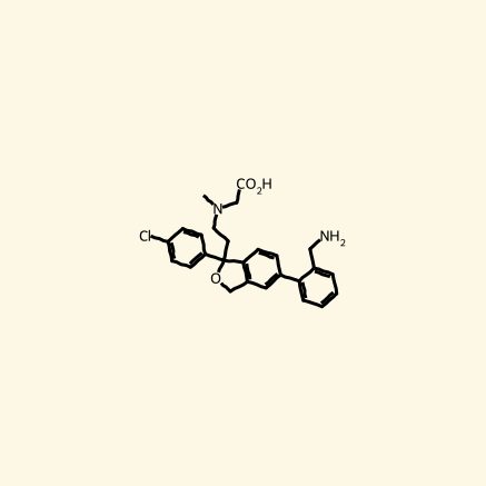 CN(CCC1(c2ccc(Cl)cc2)OCc2cc(-c3ccccc3CN)ccc21)CC(=O)O